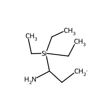 [CH2]CC(N)[Si](CC)(CC)CC